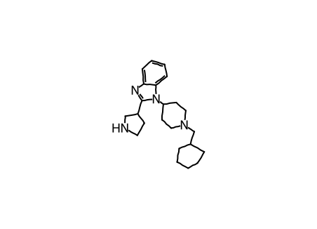 c1ccc2c(c1)nc(C1CCNC1)n2C1CCN(CC2CCCCC2)CC1